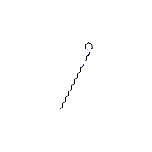 CCCCCCCCCCCCCCCCNCC=CN1CCCCC1